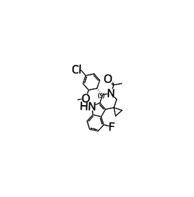 COC1C=C(Cl)C=CC1[C@H]1c2[nH]c3cccc(F)c3c2C2(CC2)CN1C(C)=O